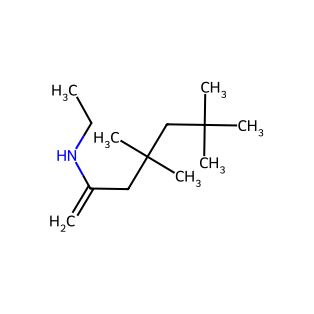 C=C(CC(C)(C)CC(C)(C)C)NCC